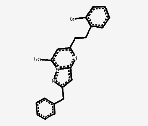 Oc1cc(CCc2ccccc2Br)nc2cc(Cc3ccccc3)nn12